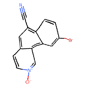 N#Cc1cc2cc[n+]([O-])cc2c2cc(Br)ccc12